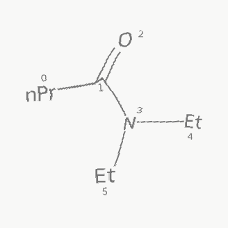 CCCC(=O)N(CC)CC